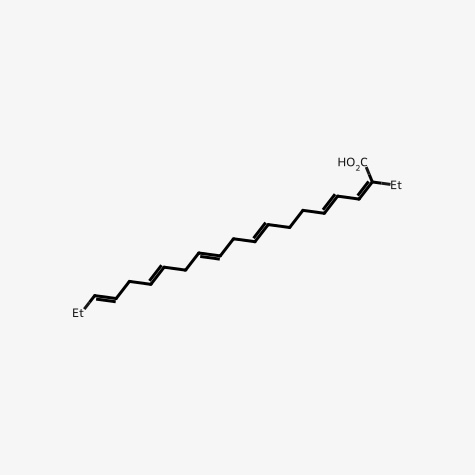 CCC=CCC=CCC=CCC=CCCC=CC=C(CC)C(=O)O